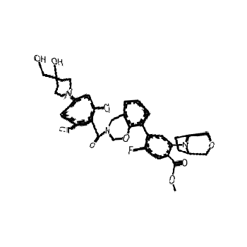 COC(=O)c1cc(F)c(-c2cccc3c2OCN(C(=O)c2c(Cl)cc(N4CC(O)(CO)C4)cc2Cl)C3)cc1N1C2CCC1COC2